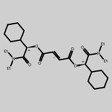 CCN(CC)C(=O)[C@H](OC(=O)/C=C/C(=O)O[C@@H](C(=O)N(CC)CC)C1CCCCC1)C1CCCCC1